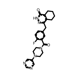 O=C(c1cc(Cc2n[nH]c(=O)c3c2CCCC3)ccc1F)N1CCN(c2cncnc2)CC1